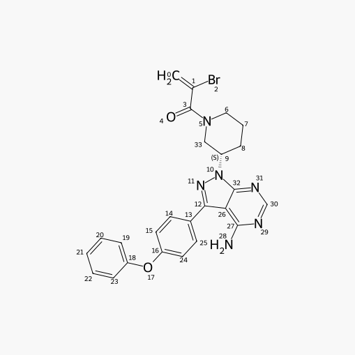 C=C(Br)C(=O)N1CCC[C@H](n2nc(-c3ccc(Oc4ccccc4)cc3)c3c(N)ncnc32)C1